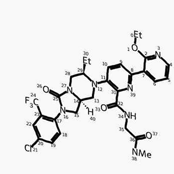 CCOc1ncccc1-c1ccc(N2C[C@H]3CN(c4ccc(Cl)cc4C(F)(F)F)C(=O)N3C[C@H]2CC)c(C(=O)NCC(=O)NC)n1